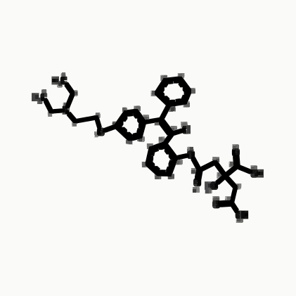 CCN(CC)CCOc1ccc(/C(=C(/Cl)c2ccccc2OC(=O)CC(O)(CC(=O)O)C(=O)O)c2ccccc2)cc1